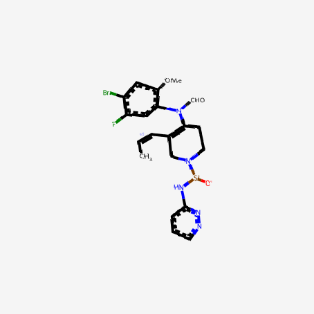 C/C=C\C1=C(N(C=O)c2cc(F)c(Br)cc2OC)CCN([S+]([O-])Nc2cccnn2)C1